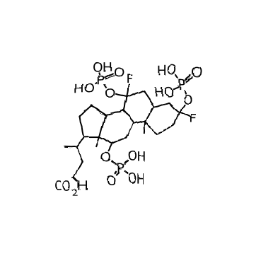 CC(CCC(=O)O)C1CCC2C3C(CC(OP(=O)(O)O)C12C)C1(C)CCC(F)(OP(=O)(O)O)CC1CC3(F)OP(=O)(O)O